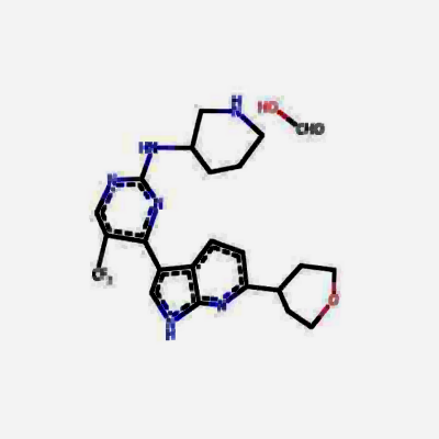 FC(F)(F)c1cnc(NC2CCCNC2)nc1-c1c[nH]c2nc(C3CCOCC3)ccc12.O=CO